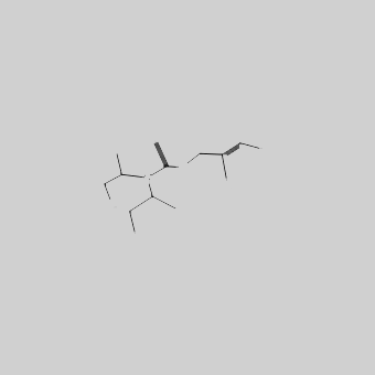 CC(CS)N(C(=O)OCC(Cl)=CCl)C(C)CS